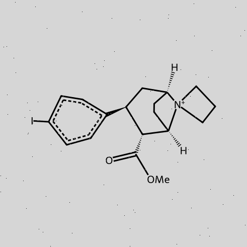 COC(=O)[C@@H]1[C@@H](c2ccc(I)cc2)C[C@@H]2CC[C@H]1[N+]21CCC1